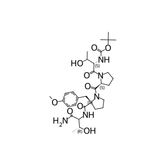 COc1ccc(C[C@]2(C(=O)NC(C(N)=O)[C@@H](C)O)CCCN2C(=O)[C@@H]2CCCN2C(=O)[C@@H](NC(=O)OC(C)(C)C)C(C)O)cc1